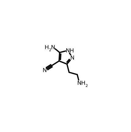 N#Cc1c(CCN)n[nH]c1N